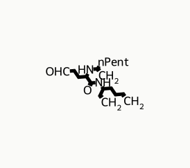 C=CCCC(C=C)NC(=O)C(CCC=O)NC(=C)CCCCC